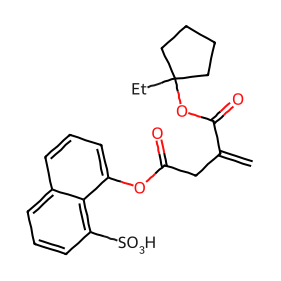 C=C(CC(=O)Oc1cccc2cccc(S(=O)(=O)O)c12)C(=O)OC1(CC)CCCC1